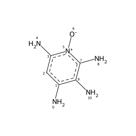 Nc1cc(N)[n+]([O-])c(N)c1N